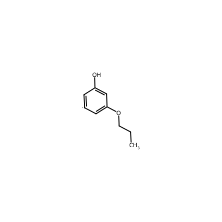 CCCOc1c[c]cc(O)c1